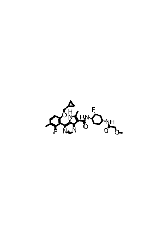 COCC(=O)N[C@H]1CC[C@@H](NC(=O)c2c(C)[nH]c3c(-c4c(OCC5CC5)ccc(C)c4F)ncnc23)[C@H](F)C1